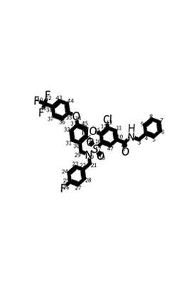 O=C(NCc1ccccc1)c1cc(Cl)c(O)c(S(=O)(=O)N(Cc2ccc(F)cc2)Cc2ccc(Oc3ccc(C(F)(F)F)cc3)cc2)c1